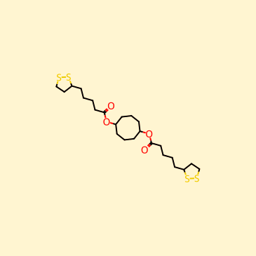 O=C(CCCCC1CCSS1)OC1CCCC(OC(=O)CCCCC2CCSS2)CCC1